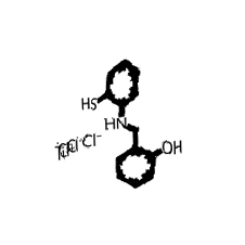 Oc1ccccc1CNc1ccccc1S.[Cl-].[Cl-].[Cl-].[Ti+3]